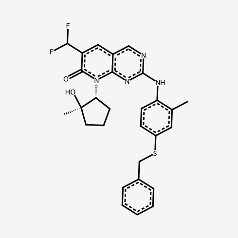 Cc1cc(SCc2ccccc2)ccc1Nc1ncc2cc(C(F)F)c(=O)n([C@@H]3CCC[C@@]3(C)O)c2n1